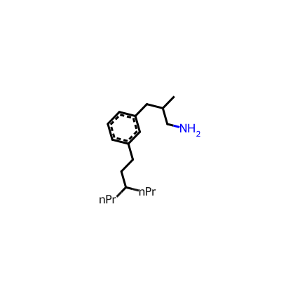 CCCC(CCC)CCc1cccc(CC(C)CN)c1